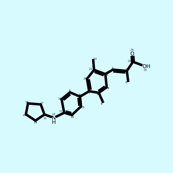 C/C(=C\c1cc(C)c(-c2ccc(NC3CCCC3)cc2)cc1C)C(=O)O